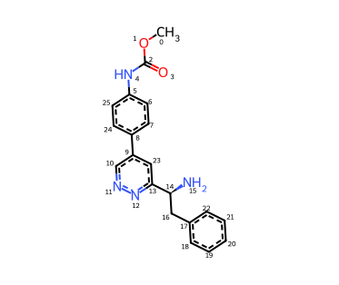 COC(=O)Nc1ccc(-c2cnnc([C@@H](N)Cc3ccccc3)c2)cc1